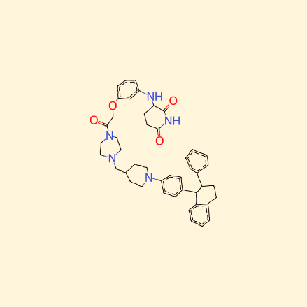 O=C1CCC(Nc2cccc(OCC(=O)N3CCN(CC4CCN(c5ccc(C6c7ccccc7CCC6c6ccccc6)cc5)CC4)CC3)c2)C(=O)N1